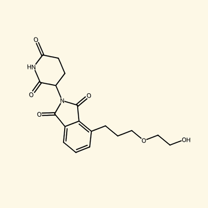 O=C1CCC(N2C(=O)c3cccc(CCCOCCO)c3C2=O)C(=O)N1